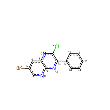 Clc1nc2cc(Br)cnc2nc1-c1ccccc1